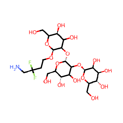 NCC(F)(F)CCO[C@H]1OC(CO)[C@@H](O)C(O)C1O[C@H]1OC(CO)[C@@H](O)C(O)C1O[C@@H]1OC(CO)[C@@H](O)C(O)C1O